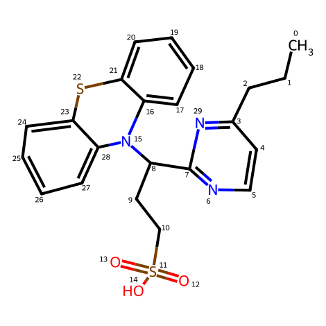 CCCc1ccnc(C(CCS(=O)(=O)O)N2c3ccccc3Sc3ccccc32)n1